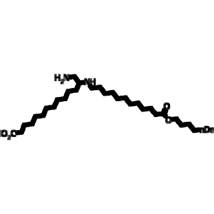 CCCCCCCCCCCCCCOC(=O)CCCCCCCCCCCNC(CN)CCCCCCCCCCCC(=O)O